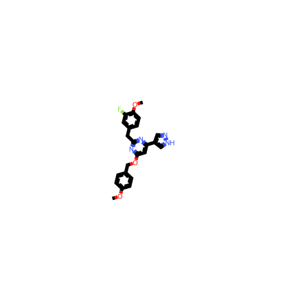 COc1ccc(COc2cc(-c3cn[nH]c3)nc(Cc3ccc(OC)c(F)c3)n2)cc1